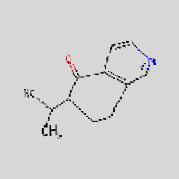 CC(C#N)C1CCc2cnccc2C1=O